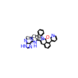 C=N/C(N[C@H](C)c1cc2cccc(-c3cccnc3)c2c(=O)n1-c1ccccc1)=C1/N=CN/C1=N/C